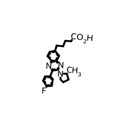 C[C@H]1CCCN1c1nc2cc(CCCCC(=O)O)ccc2nc1-c1ccc(F)cc1